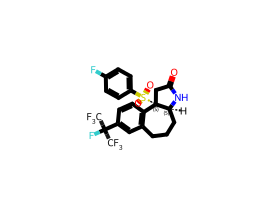 O=C1C[C@]2(S(=O)(=O)c3ccc(F)cc3)c3ccc(C(F)(C(F)(F)F)C(F)(F)F)cc3CCC[C@@H]2N1